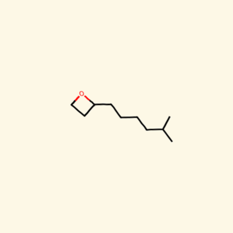 CC(C)CCCC[C]1CCO1